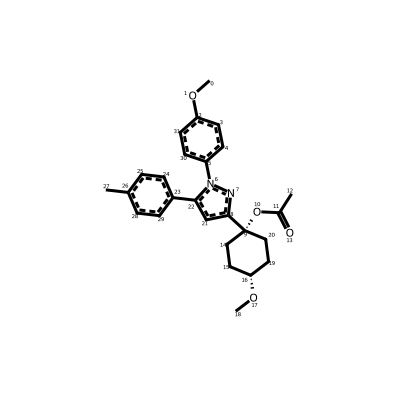 COc1ccc(-n2nc([C@]3(OC(C)=O)CC[C@@H](OC)CC3)cc2-c2ccc(C)cc2)cc1